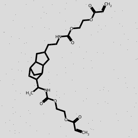 C=CC(=O)OCCOC(=O)NCCC1CC2C3CC(C(C)NC(=O)OCCOC(=O)C=C)C(C3)C2C1